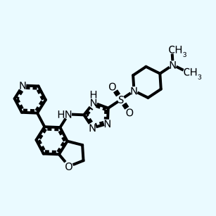 CN(C)C1CCN(S(=O)(=O)c2nnc(Nc3c(-c4ccncc4)ccc4c3CCO4)[nH]2)CC1